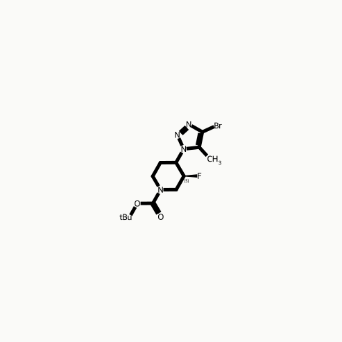 Cc1c(Br)nnn1C1CCN(C(=O)OC(C)(C)C)C[C@@H]1F